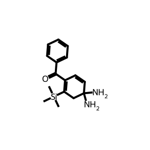 C[Si](C)(C)C1=C(C(=O)c2ccccc2)C=CC(N)(N)C1